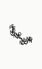 Cc1nc(-c2ccc3ccnc(NCCN4CCn5c(cc6c(OCC(F)(F)F)nccc65)C4=O)c3c2)no1